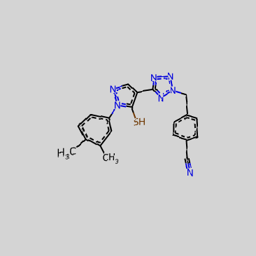 Cc1ccc(-n2ncc(-c3nnn(Cc4ccc(C#N)cc4)n3)c2S)cc1C